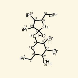 CC(C)CC1OC(OC2(O)OC(CC(C)C)C(C(C)C)C2C(C)C)C(C(C)C)C(C(C)C)C1C